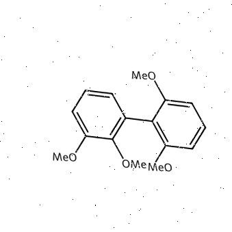 COc1cc[c]c(-c2c(OC)cccc2OC)c1OC